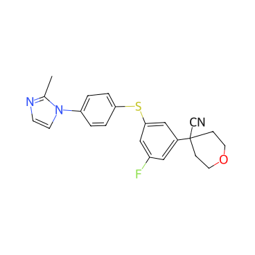 Cc1nccn1-c1ccc(Sc2cc(F)cc(C3(C#N)CCOCC3)c2)cc1